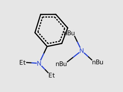 CCCCN(CCCC)CCCC.CCN(CC)c1ccccc1